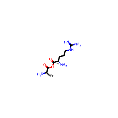 CC(C)C(N)C(=O)OC(=O)[C@@H](N)CCCNC(=N)N